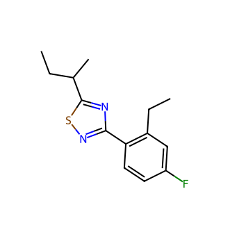 CCc1cc(F)ccc1-c1nsc(C(C)CC)n1